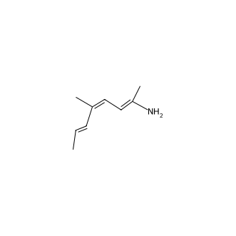 C/C=C/C(C)=C\C=C(/C)N